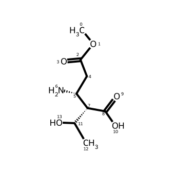 COC(=O)C[C@@H](N)[C@H](C(=O)O)C(C)O